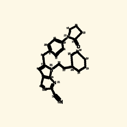 N#Cc1ncc2cc(Cc3ccc(N4CCCC4=O)cc3)n(CCC3CCCCC3)c2n1